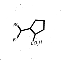 O=C(O)C1CCCC1C(Br)Br